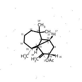 C=C1[C@@H](OC(C)=O)C[C@H]2C3[C@H]1[C@@]2(C)CCCC3(C)C